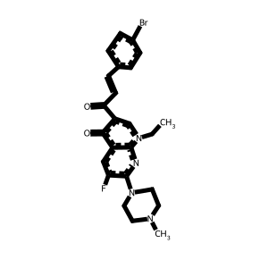 CCn1cc(C(=O)C=Cc2ccc(Br)cc2)c(=O)c2cc(F)c(N3CCN(C)CC3)nc21